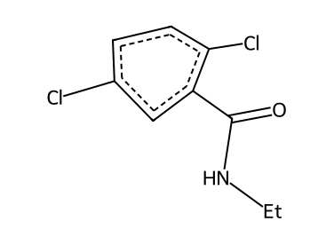 CCNC(=O)c1cc(Cl)ccc1Cl